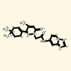 Cc1cc(=O)n(CC(=O)Nc2ccn3ncnc3c2)nc1C1=CCC(C)(C)CC1